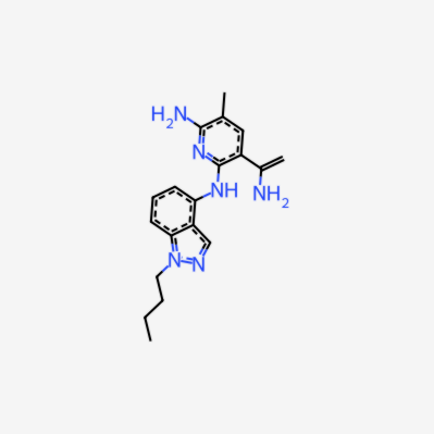 C=C(N)c1cc(C)c(N)nc1Nc1cccc2c1cnn2CCCC